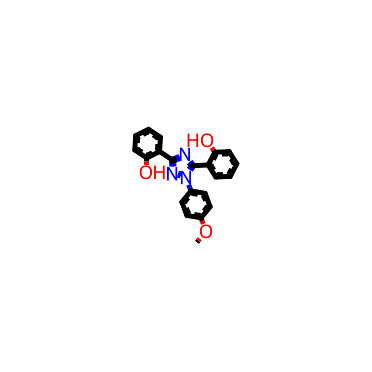 COc1ccc(-n2nc(-c3ccccc3O)nc2-c2ccccc2O)cc1